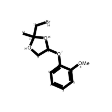 COc1ccccc1OC1COC(C)(CBr)O1